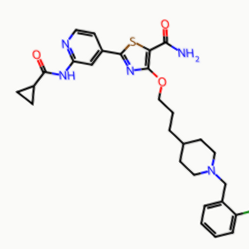 NC(=O)c1sc(-c2ccnc(NC(=O)C3CC3)c2)nc1OCCCC1CCN(Cc2ccccc2F)CC1